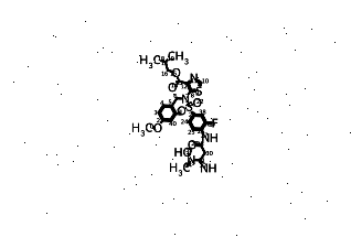 COc1ccc(CN(c2scnc2C(=O)OCC(C)C)S(=O)(=O)c2ccc(NC(=O)CC(=N)N(C)O)c(F)c2)cc1